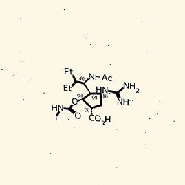 CCC(CC)[C@@H](NC(C)=O)[C@@H]1[C@H](OC(=O)NI)[C@@H](C(=O)O)C[C@H]1NC(=N)N